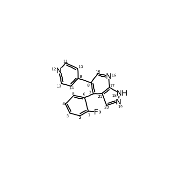 Fc1ccccc1-c1c(-c2ccncc2)cnc2[nH]ncc12